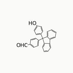 O=Cc1ccc(C2(c3ccc(O)cc3)c3ccccc3-c3ccccc32)cc1